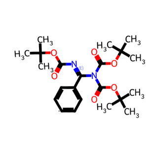 CC(C)(C)OC(=O)/N=C(\c1cc[c]cc1)N(C(=O)OC(C)(C)C)C(=O)OC(C)(C)C